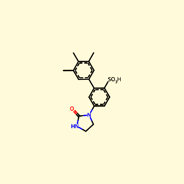 Cc1cc(-c2cc(N3CCNC3=O)ccc2S(=O)(=O)O)cc(C)c1C